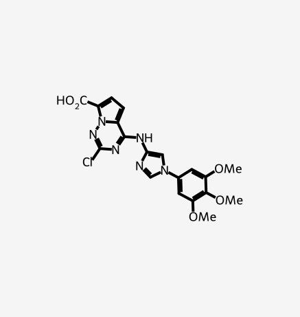 COc1cc(-n2cnc(Nc3nc(Cl)nn4c(C(=O)O)ccc34)c2)cc(OC)c1OC